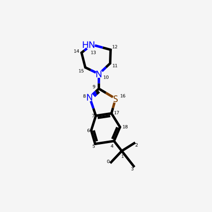 CC(C)(C)c1ccc2nc(N3CCNCC3)sc2c1